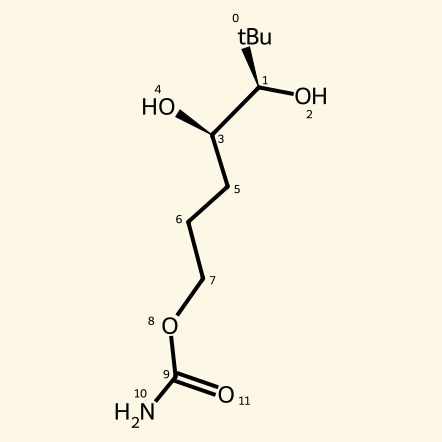 CC(C)(C)[C@@H](O)[C@H](O)CCCOC(N)=O